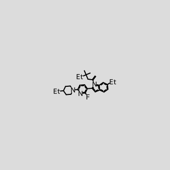 C=C(CC(C)(C)CC)n1c(-c2ccc(N3CCC(CC)CC3)nc2F)cc2ccc(CC)cc21